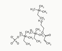 C=CC(=O)OCCC.CC[N+](C)(C)C.CC[N+](C)(C)C.CC[N+](C)(C)C.O=P([O-])([O-])[O-]